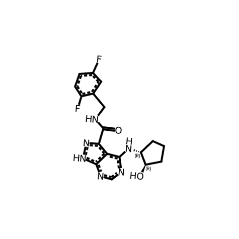 O=C(NCc1cc(F)ccc1F)c1n[nH]c2ncnc(N[C@@H]3CCC[C@H]3O)c12